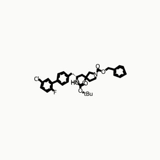 CC(C)(C)OC(=O)N[C@H](Cc1ccc(-c2cc(Cl)ccc2F)cc1)CC1(C(=O)O)CCN(C(=O)OCc2ccccc2)C1